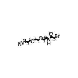 [N-]=[N+]=NCCOCCOCCNC(=O)CBr